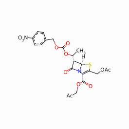 CC(=O)COC(=O)C1=C(COC(C)=O)S[C@@H]2[C@@H](C(C)OC(=O)OCc3ccc([N+](=O)[O-])cc3)C(=O)N12